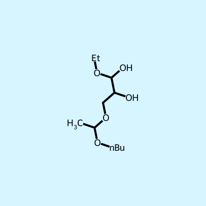 CCCCOC(C)OCC(O)C(O)OCC